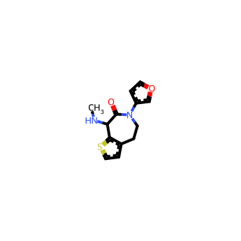 CNC1C(=O)N(c2ccoc2)CCc2ccsc21